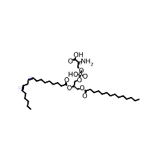 CCCCC/C=C\C/C=C\CCCCCCCC(=O)O[C@H](COC(=O)CCCCCCCCCCCCC)COP(=O)(O)OC[C@H](N)C(=O)O